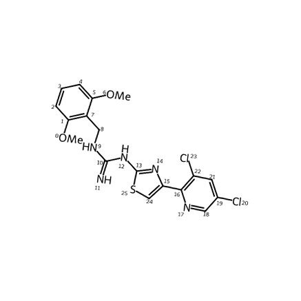 COc1cccc(OC)c1CNC(=N)Nc1nc(-c2ncc(Cl)cc2Cl)cs1